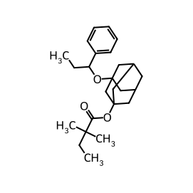 CCC(OC12CC3CC(CC(OC(=O)C(C)(C)CC)(C3)C1)C2)c1ccccc1